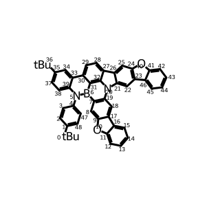 CC(C)(C)c1ccc(N2B3c4cc5oc6ccccc6c5cc4-n4c5cc6c(cc5c5ccc(c3c54)-c3cc(C(C)(C)C)ccc32)oc2ccccc26)cc1